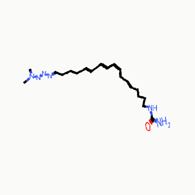 CN(C)N=NN=CCCCCCCC/C=C\CCCCCCCNC(N)=O